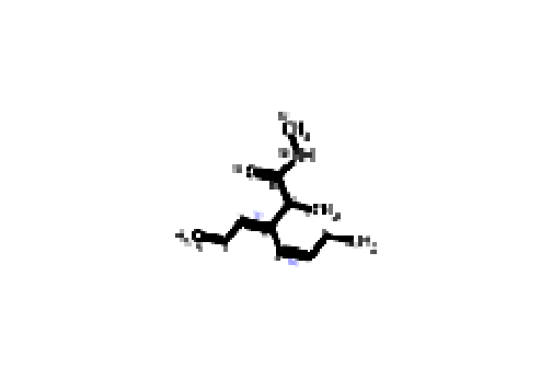 C=C/C=C(\C=C/CC)C(C)C(=O)NC